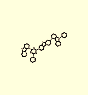 c1ccc(-c2nc(-c3ccc4c(c3)sc3cc(-c5cccc6c5c5ccccc5n6-c5ccccc5)ccc34)nc(-c3cccc4sc5ccccc5c34)n2)cc1